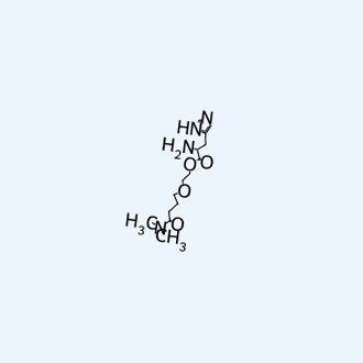 CN(C)C(=O)CCCOCCOC(=O)C(N)Cc1cnc[nH]1